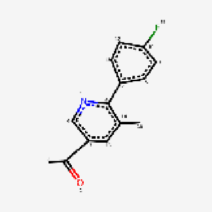 CC(=O)c1cnc(-c2ccc(F)cc2)c(C)c1